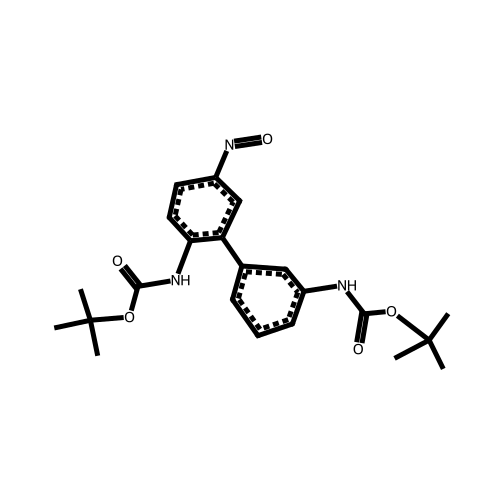 CC(C)(C)OC(=O)Nc1cccc(-c2cc(N=O)ccc2NC(=O)OC(C)(C)C)c1